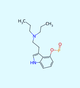 CCCN(CCC)CCc1c[nH]c2cccc(OP=O)c12